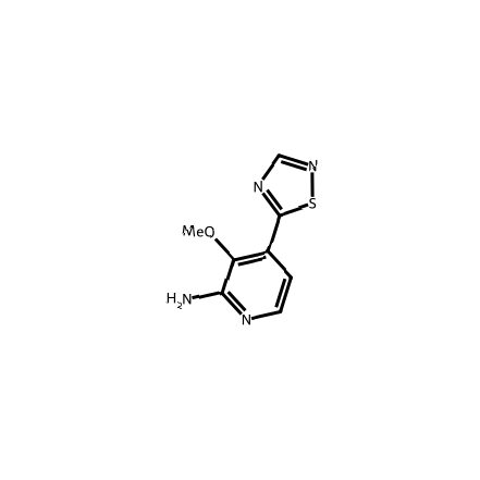 COc1c(-c2ncns2)ccnc1N